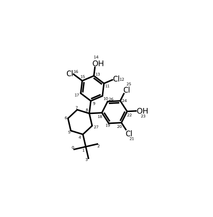 CC(C)(C)C1CCCC(c2cc(Cl)c(O)c(Cl)c2)(c2cc(Cl)c(O)c(Cl)c2)C1